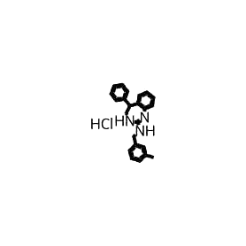 Cc1cccc(CNC2=Nc3ccccc3C(c3ccccc3)CN2)c1.Cl